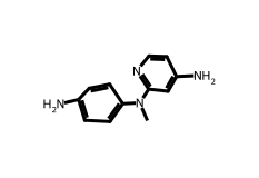 CN(c1ccc(N)cc1)c1cc(N)ccn1